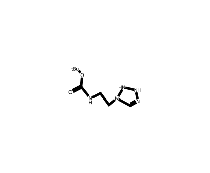 CC(C)(C)OC(=O)NCCN1C=NNN1